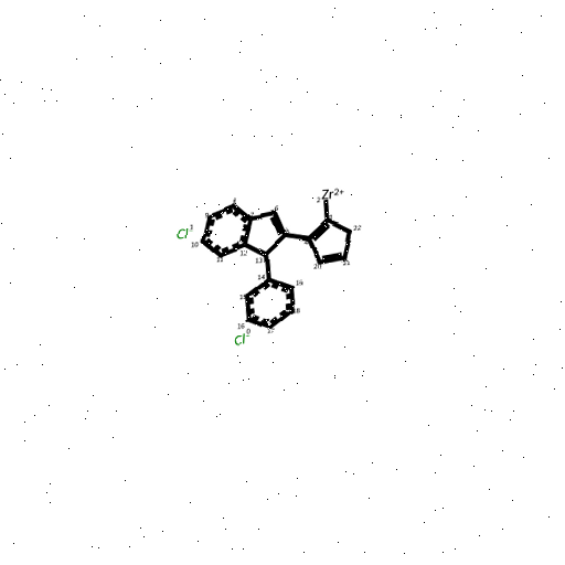 [Cl-].[Cl-].[Zr+2][C]1=C(C2=Cc3ccccc3C2c2ccccc2)C=CC1